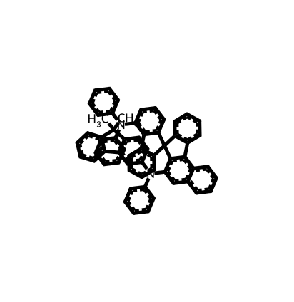 CC1(C)c2ccccc2-c2cc(N(c3ccccc3)c3cc4ccccc4c4c3C3(c5ccccc5-c5c(N(c6ccccc6)c6ccccc6)cccc53)c3ccccc3-4)ccc21